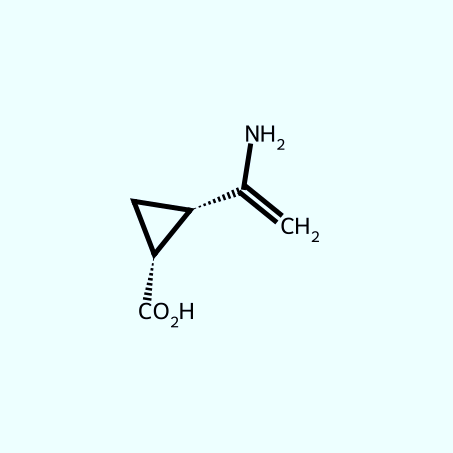 C=C(N)[C@H]1C[C@H]1C(=O)O